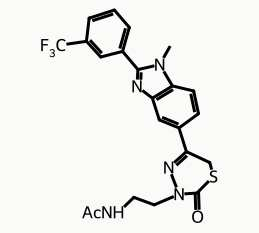 CC(=O)NCCN1N=C(c2ccc3c(c2)nc(-c2cccc(C(F)(F)F)c2)n3C)CSC1=O